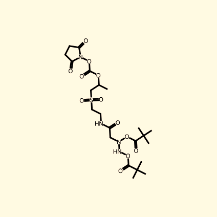 CC(CS(=O)(=O)CCNC(=O)CN(NOC(=O)C(C)(C)C)OC(=O)C(C)(C)C)OC(=O)ON1C(=O)CCC1=O